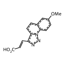 COc1ccc2c(ccc3c(/C=C/C(=O)O)nnn32)c1